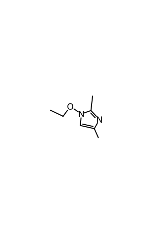 CCOn1cc(C)nc1C